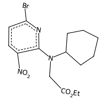 CCOC(=O)CN(c1nc(Br)ccc1[N+](=O)[O-])C1CCCCC1